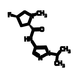 CC(C)n1cc(NC(=O)[C@@H]2C[C@@H](F)CN2C)cn1